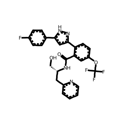 O=C(N[C@@H](CO)Cc1ccccn1)c1cc(OC(F)(F)F)ccc1-c1cc(-c2ccc(F)cc2)[nH]n1